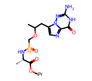 CC(C)OC(=O)[C@H](C)N[PH](=O)COC(C)Cc1cnc2c(=O)[nH]c(N)nn12